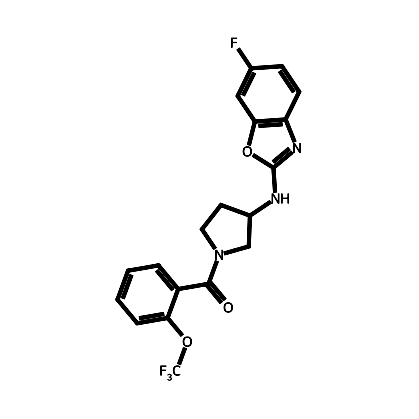 O=C(c1ccccc1OC(F)(F)F)N1CCC(Nc2nc3ccc(F)cc3o2)C1